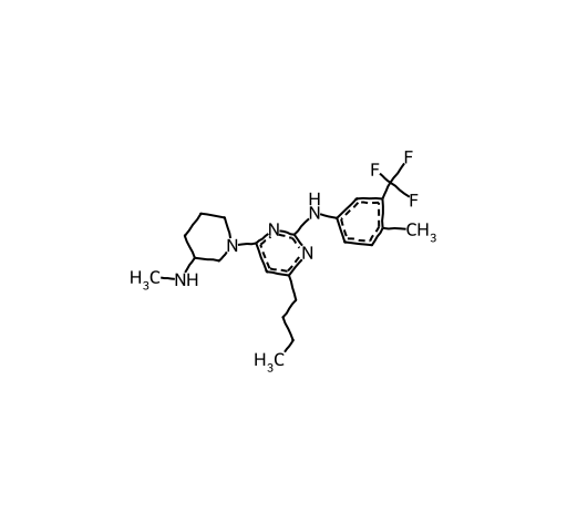 CCCCc1cc(N2CCCC(NC)C2)nc(Nc2ccc(C)c(C(F)(F)F)c2)n1